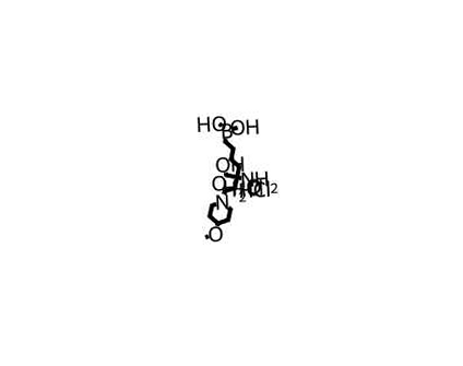 COC1CCN(CCC(N)(CCCCB(O)O)C(=O)O)CC1.Cl.Cl.O